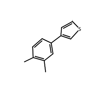 Cc1ccc(-c2c[c]sc2)cc1C